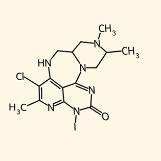 Cc1nc2c3c(nc(=O)n2I)N2CC(C)N(C)CC2CNc3c1Cl